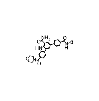 NC(=O)c1cc(-c2ccc(C(=O)NC3CC3)cc2)cc2c1[nH]c1cc(C(=O)N3CCOCC3)ccc12